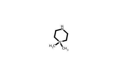 C[N+]1(C)CCNCC1